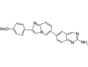 COc1ccc(-c2cn3cc(-c4ccc5nc(N)ncc5c4)ccc3n2)cc1